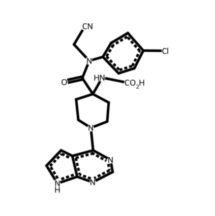 N#CCN(C(=O)C1(NC(=O)O)CCN(c2ncnc3[nH]ccc23)CC1)c1ccc(Cl)cc1